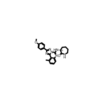 COc1ccc(-c2nc3c4c(C)cccc4nc(N[C@@H]4CCCCNC4=O)n3n2)cc1